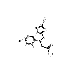 Cl.O=C(O)CN(Cc1cnc(Cl)s1)c1ccccn1